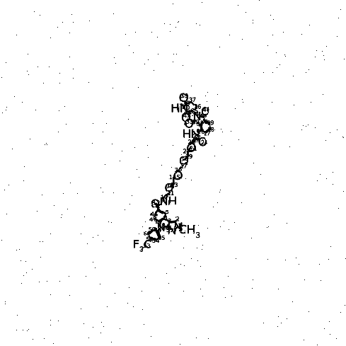 Cn1cc2c3cc(C(=O)NCCOCCOCCOCCOCC(=O)Nc4cccc5c4C(=O)N(C4CCC(=O)NC4=O)C5=O)ccc3n(-c3ccc(C(F)(F)F)cc3)c2n1